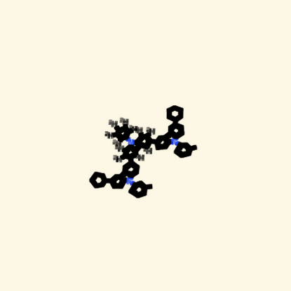 [2H]c1c([2H])c([2H])c(-n2c3c([2H])c([2H])c(-c4ccc5c(c4)c4cc(C6CCCCC6)ccc4n5-c4cccc(C)c4)c([2H])c3c3c([2H])c(-c4ccc5c(c4)c4cc(C6CCCCC6)ccc4n5-c4cccc(C)c4)c([2H])c([2H])c32)c([2H])c1[2H]